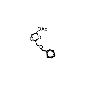 CC(=O)O[C@H]1CO[C@H](COCc2ccccc2)O1